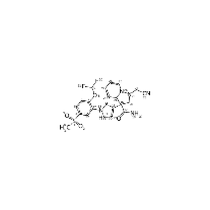 CS(=O)(=O)c1ccc(OC(F)F)c(N2CC(C3(C(N)=O)CN(CC#N)N4C=CC=NC43)=CN2)c1